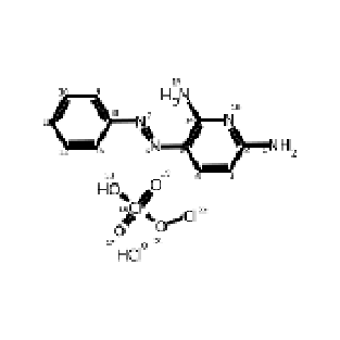 Cl.Nc1ccc(/N=N/c2ccccc2)c(N)n1.[O]=[Cr](=[O])([OH])[O]Cl